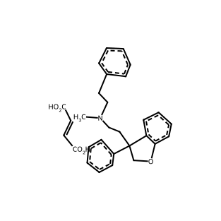 CN(CCc1ccccc1)CCC1(c2ccccc2)COc2ccccc21.O=C(O)/C=C/C(=O)O